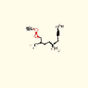 CCCCC#CCC(C)CCC(C)COOC(C)(C)C